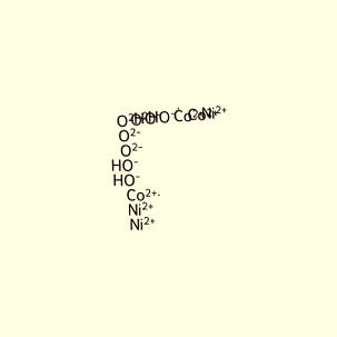 [Co+2].[Co+2].[Co+2].[Ni+2].[Ni+2].[Ni+2].[O-2].[O-2].[O-2].[O-2].[OH-].[OH-].[OH-].[OH-]